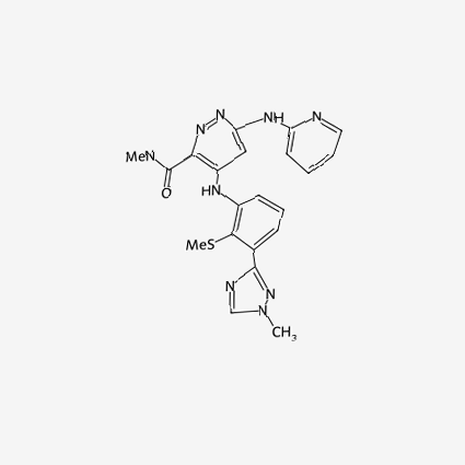 CNC(=O)c1nnc(Nc2ccccn2)cc1Nc1cccc(-c2ncn(C)n2)c1SC